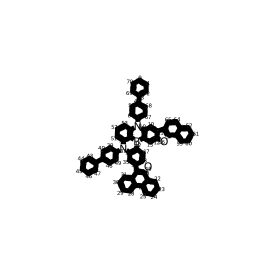 c1ccc(-c2ccc(N3c4cc5c(cc4B4c6cc7oc8c9ccccc9c9ccccc9c8c7cc6N(c6ccc(-c7ccccc7)cc6)c6cccc3c64)oc3c4ccccc4ccc53)cc2)cc1